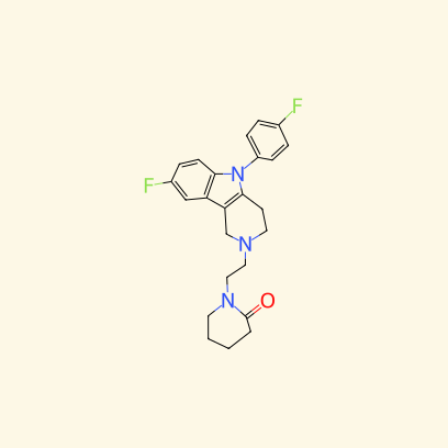 O=C1CCCCN1CCN1CCc2c(c3cc(F)ccc3n2-c2ccc(F)cc2)C1